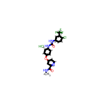 CNC(=O)c1cc(Oc2ccc(NC(=O)Nc3ccc(Cl)c(C(F)(F)F)c3)cc2)ccn1.Cl